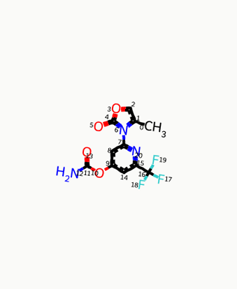 Cc1coc(=O)n1-c1cc(OC(N)=O)cc(C(F)(F)F)n1